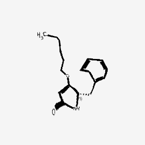 CCCCCOC1=CC(=O)N[C@H]1Cc1ccccc1